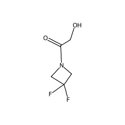 O=C(CO)N1CC(F)(F)C1